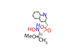 CO[C@H](C)[C@@H](CS(=O)(=O)Cc1cnc2ccccc2c1)NO